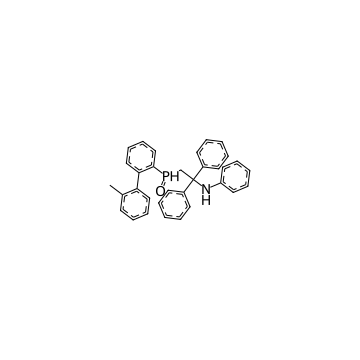 Cc1ccccc1-c1ccccc1[PH](=O)CC(Nc1ccccc1)(c1ccccc1)c1ccccc1